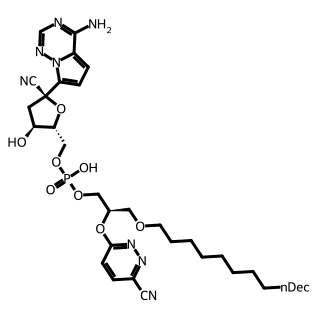 CCCCCCCCCCCCCCCCCCOC[C@H](COP(=O)(O)OC[C@H]1O[C@@](C#N)(c2ccc3c(N)ncnn23)C[C@@H]1O)Oc1ccc(C#N)nn1